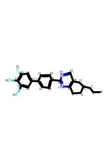 CCCC1CCc2nc(-c3ccc(-c4cc(F)c(F)c(F)c4)cc3)ncc2C1